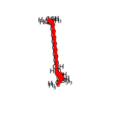 CC[C@H](CC[C@@H](C)[C@H]1CC[C@H]2[C@@H]3CC=C4C[C@@H](OC(=O)NCCNC(=O)CCOCCOCCOCCOCCOCCOCCOCCOCCOCCOCCOCCOCCOCCC(=O)N[C@@H](C)C(=O)N[C@@H](C)C(=O)O)CC[C@]4(C)[C@H]3CC[C@]12C)C(C)C